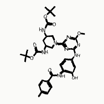 COc1nc(Nc2ccc(NC(=O)c3ccc(C)cc3)c(O)c2)nc(N2CC(NC(=O)OC(C)(C)C)CC(NC(=O)OC(C)(C)C)C2)n1